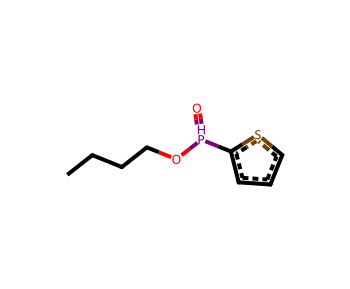 CCCCO[PH](=O)c1cccs1